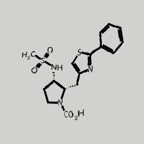 CS(=O)(=O)N[C@H]1CCN(C(=O)O)[C@H]1Cc1csc(-c2ccccc2)n1